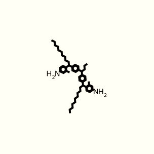 CCCCCCCCCCC(c1ccc(C(CCC)c2ccc(C(CCCCCCCCCC)c3ccc(N)cc3C)cc2)cc1)c1ccc(N)cc1C